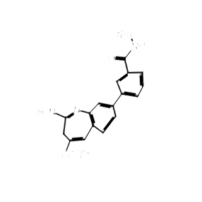 CCOC(=O)C1=Cc2ccc(-c3cccc(C(=O)NC(C)(C)C)c3)cc2N=C(N)C1